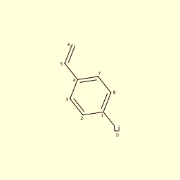 [Li][c]1ccc(C=C)cc1